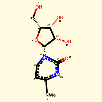 CNc1ccn([C@@H]2O[C@H](CO)[C@H](O)[C@@H]2O)c(=O)n1